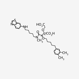 Cc1ccc(CCCCCO[C@@H](C(=O)N(C)CCCCCNc2ccc3ncsc3c2)[C@@H](OCC(=O)O)C(=O)O)cc1C